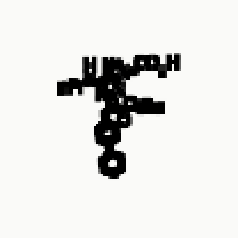 CCCNc1nc(N(Cc2ccc(C3CCCCC3)cc2)C(=O)OC(C)(C)C)nc2c1ncn2CC(=O)O